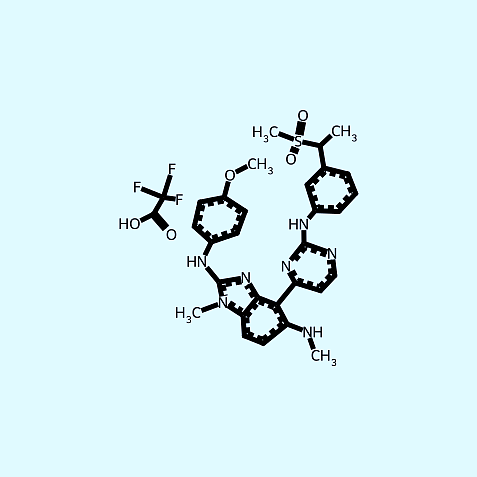 CNc1ccc2c(nc(Nc3ccc(OC)cc3)n2C)c1-c1ccnc(Nc2cccc(C(C)S(C)(=O)=O)c2)n1.O=C(O)C(F)(F)F